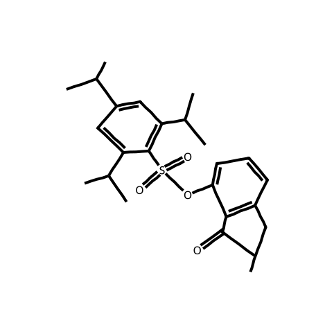 CC1Cc2cccc(OS(=O)(=O)c3c(C(C)C)cc(C(C)C)cc3C(C)C)c2C1=O